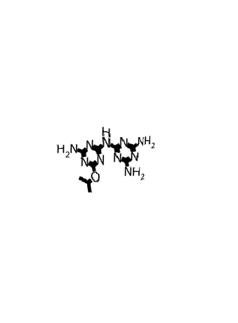 CC(C)Oc1nc(N)nc(Nc2nc(N)nc(N)n2)n1